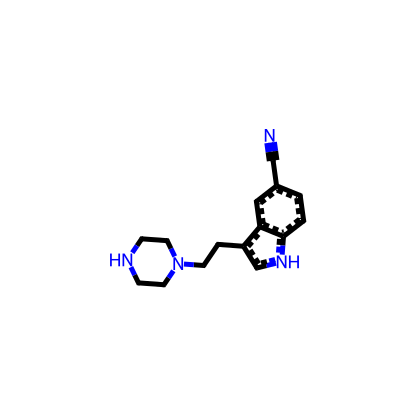 N#Cc1ccc2[nH]cc(CCN3CCNCC3)c2c1